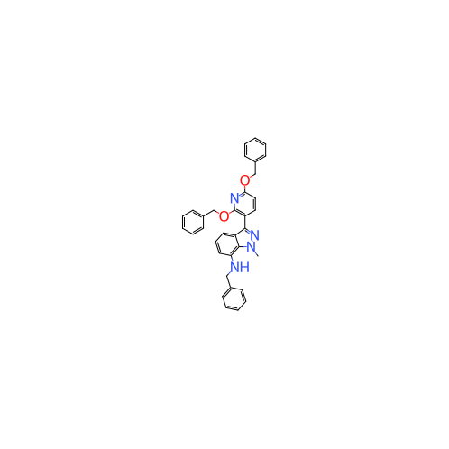 Cn1nc(-c2ccc(OCc3ccccc3)nc2OCc2ccccc2)c2cccc(NCc3ccccc3)c21